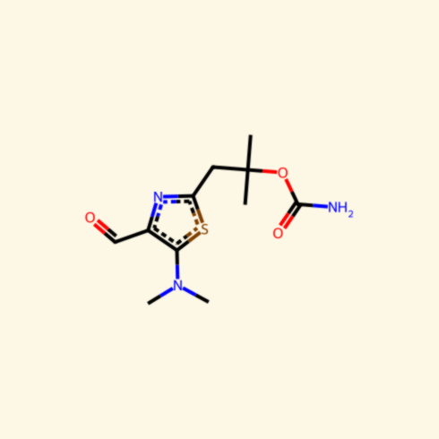 CN(C)c1sc(CC(C)(C)OC(N)=O)nc1C=O